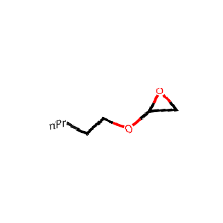 CCCCCOC1CO1